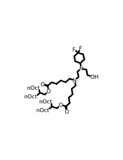 CCCCCCCCC(CCCCCCCC)COC(=O)CCCCCN(CCCCCC(=O)OCC(CCCCCCCC)CCCCCCCC)CCN(CCO)C1CCC(F)(F)CC1